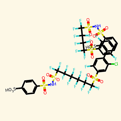 O=S(=O)(O)c1ccc(S(=O)(=O)NS(=O)(=O)C(F)(F)C(F)(F)C(F)(F)C(F)(F)C(F)(F)C(F)(F)S(=O)(=O)c2cc(Cl)c(-c3cccc(S(=O)(=O)NS(=O)(=O)C(F)(F)C(F)(F)C(F)(F)C(F)(F)S(=O)(=O)c4cc(F)ccc4F)c3S(=O)(=O)O)cc2F)cc1